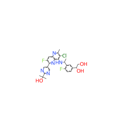 Cc1nc2cc(F)c(-c3cnc(C(C)(C)O)nc3)nc2c(NC(C)c2cc(C(O)CO)ccc2F)c1Cl